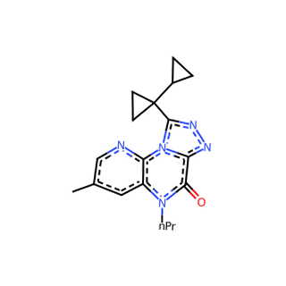 CCCn1c(=O)c2nnc(C3(C4CC4)CC3)n2c2ncc(C)cc21